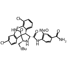 COc1cc(C(N)=O)ccc1NC(=O)[C@@H]1N[C@@H](CC(C)(C)C)[C@@]2(C(=O)Nc3cc(Cl)ccc32)[C@H]1c1cccc(Cl)c1F